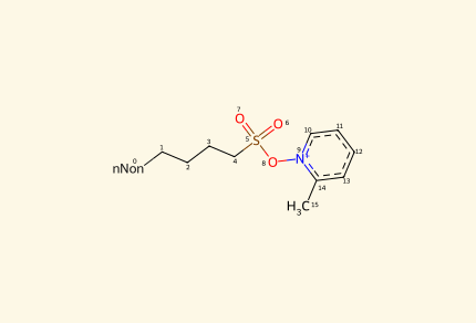 CCCCCCCCCCCCCS(=O)(=O)O[n+]1ccccc1C